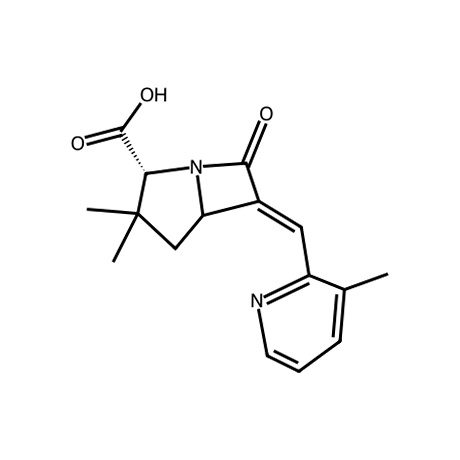 Cc1cccnc1/C=C1/C(=O)N2C1CC(C)(C)[C@@H]2C(=O)O